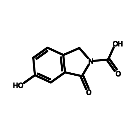 O=C(O)N1Cc2ccc(O)cc2C1=O